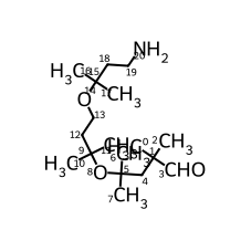 CC(C)(C=O)CC(C)(C)OC(C)(C)CCOC(C)(C)CCN